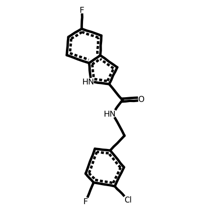 O=C(NCc1ccc(F)c(Cl)c1)c1cc2cc(F)ccc2[nH]1